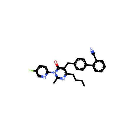 CCCCc1nc(C)n(-c2ccc(F)cn2)c(=O)c1Cc1ccc(-c2ccccc2C#N)cc1